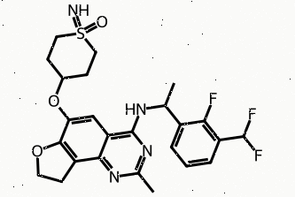 Cc1nc(NC(C)c2cccc(C(F)F)c2F)c2cc(OC3CCS(=N)(=O)CC3)c3c(c2n1)CCO3